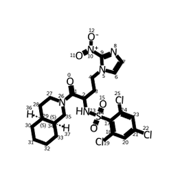 O=C(C(CCn1ccnc1[N+](=O)[O-])NS(=O)(=O)c1c(Cl)cc(Cl)cc1Cl)N1CC[C@@H]2CCCC[C@@H]2C1